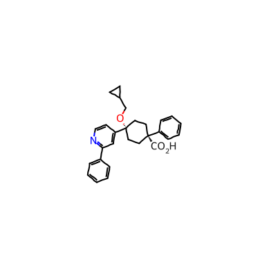 O=C(O)[C@]1(c2ccccc2)CC[C@](OCC2CC2)(c2ccnc(-c3ccccc3)c2)CC1